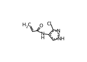 C=CC(=O)Nc1c[nH]nc1Cl